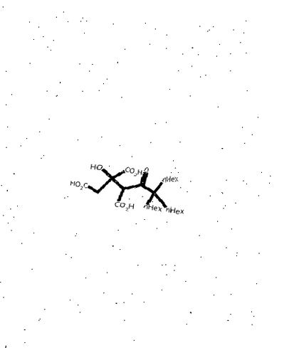 CCCCCCC(CCCCCC)(CCCCCC)C(=O)C(C(=O)O)C(O)(CC(=O)O)C(=O)O